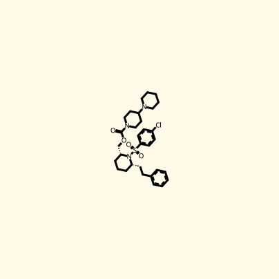 O=C(OC[C@H]1CCC[C@@H](CCc2ccccc2)N1S(=O)(=O)c1ccc(Cl)cc1)N1CCC(N2CCCCC2)CC1